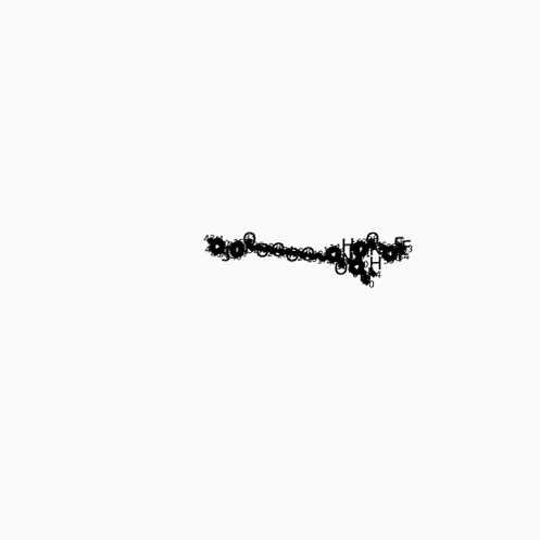 CCN(CC)c1ccc(NC(=O)c2cccc(CCCOCCOCCOCCOCCC(=O)N3CCN(Sc4ccc(C)cc4)CC3)c2)c(-c2cc(C(=O)NCc3cccc(C(F)(F)F)c3)ccn2)c1